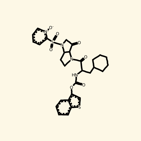 O=C(NC(CC1CCCCC1)C(=O)N1CCC2C1C(=O)CN2S(=O)(=O)c1cccc[n+]1[O-])Oc1csc2ccccc12